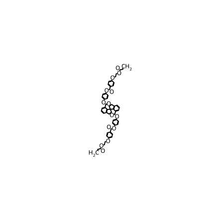 C=CC(=O)OCCOc1ccc(C(=O)Oc2ccc(OC(=O)c3cccc4c3C3(CC4)CCc4cccc(C(=O)Oc5ccc(OC(=O)c6ccc(OCCOC(=O)C=C)cc6)cc5)c43)cc2)cc1